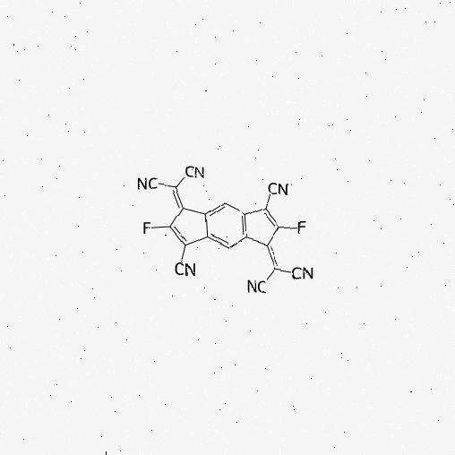 N#CC(C#N)=C1C(F)=C(C#N)c2cc3c(cc21)C(C#N)=C(F)C3=C(C#N)C#N